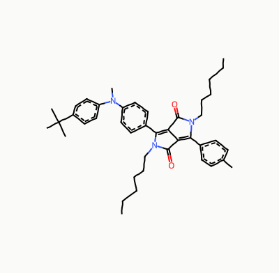 CCCCCCN1C(=O)C2=C(c3ccc(N(C)c4ccc(C(C)(C)C)cc4)cc3)N(CCCCCC)C(=O)C2=C1c1ccc(C)cc1